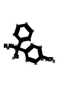 [CH2]C[C@@](N)(c1ccccc1)c1ccc(C(F)(F)F)cc1